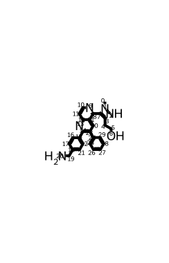 Cn1[nH]c(CCO)c1-c1nccc2nc(-c3ccc(CN)cc3)c(-c3ccccc3)cc12